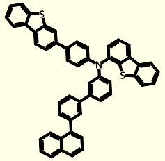 c1cc(-c2cccc(N(c3ccc(-c4ccc5c(c4)sc4ccccc45)cc3)c3cccc4c3sc3ccccc34)c2)cc(-c2cccc3ccccc23)c1